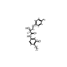 [C-]#[N+]c1ccc(NC(=O)[C@@](C)(O)COc2ccc(C)cc2)cc1Cl